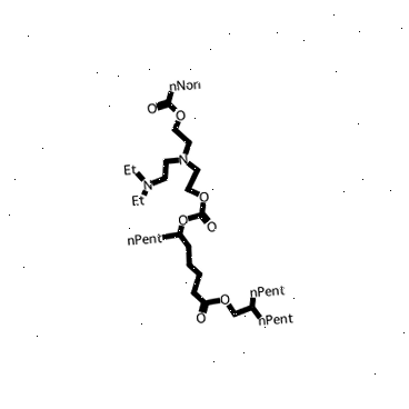 CCCCCCCCCC(=O)OCCN(CCOC(=O)OC(CCCCC)CCCCC(=O)OCC(CCCCC)CCCCC)CCN(CC)CC